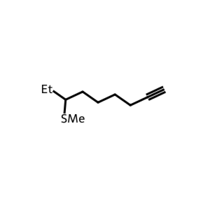 C#CCCCCC(C[CH2])SC